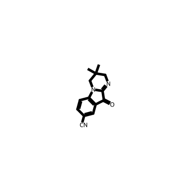 CC1(C)CN=C2C(=O)c3cc(C#N)ccc3N2C1